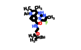 CC(=O)N1c2ccc(C(=O)NCCO[Si](C)(C)C(C)(C)C)cc2[C@H](Nc2ncc(F)c(C)n2)[C@@H](C)[C@@H]1C